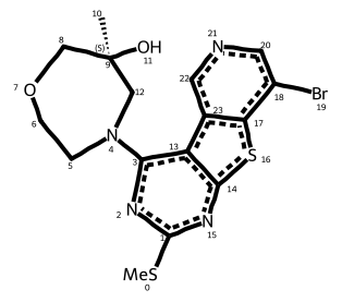 CSc1nc(N2CCOC[C@@](C)(O)C2)c2c(n1)sc1c(Br)cncc12